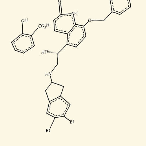 CCc1cc2c(cc1CC)CC(NC[C@H](O)c1ccc(OCc3ccccc3)c3[nH]c(=O)ccc13)C2.O=C(O)c1ccccc1O